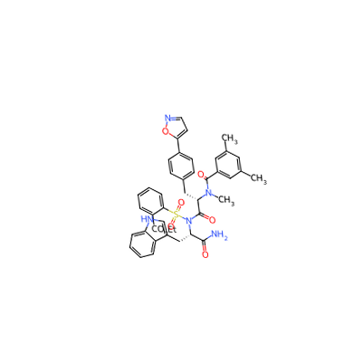 CCOC(=O)c1ccccc1S(=O)(=O)N(C(=O)[C@H](Cc1ccc(-c2ccno2)cc1)N(C)C(=O)c1cc(C)cc(C)c1)[C@@H](Cc1c[nH]c2ccccc12)C(N)=O